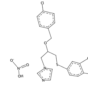 Clc1ccc(COC(CSc2ccc(Cl)c(Cl)c2)Cn2ccnc2)cc1.O=[N+]([O-])O